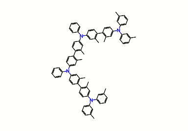 Cc1cccc(N(c2cccc(C)c2)c2ccc(-c3ccc(N(c4ccccc4)c4ccc(-c5ccc(N(c6ccccc6)c6ccc(-c7ccc(N(c8cccc(C)c8)c8cccc(C)c8)cc7C)c(C)c6)cc5C)c(C)c4)cc3C)c(C)c2)c1